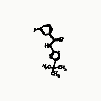 CC(C)(C)c1csc(NC(=O)c2cccc(F)c2)n1